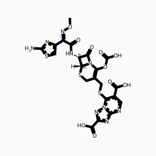 CO/N=C(\C(=O)N[C@@H]1C(=O)N2C(OC(=O)O)=C(CSc3c(C(=O)O)cnc4nc(C(=O)O)nn34)CS[C@H]12)c1csc(N)n1